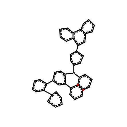 c1ccc(-c2ccccc2-c2ccc(N(c3ccccc3)c3ccc(-c4cc5ccccc5c5ccccc45)cc3)c(-c3ccccc3)c2)cc1